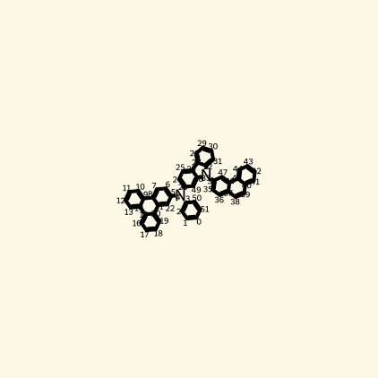 c1ccc(N(c2ccc3c4ccccc4c4ccccc4c3c2)c2ccc3c4ccccc4n(-c4ccc5ccc6ccccc6c5c4)c3c2)cc1